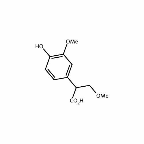 COCC(C(=O)O)c1ccc(O)c(OC)c1